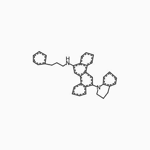 c1ccc(CCCNc2cc3c4ccccc4c(N4CCCc5ccccc54)cc3c3ccccc23)cc1